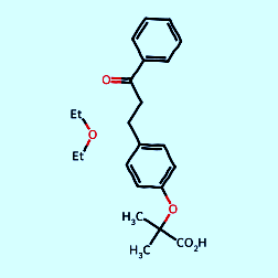 CC(C)(Oc1ccc(CCC(=O)c2ccccc2)cc1)C(=O)O.CCOCC